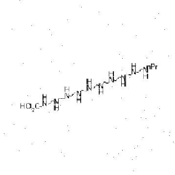 CCCNCCNCCNCCNCCNCCNCCNCCNCCNCCNCC(=O)O